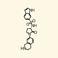 O=C1[C@@H](NS(=O)(=O)c2ccc3cc[nH]c3c2)CCN1c1ccc2c(c1)CNCC2